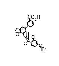 CC(C)Oc1ccc(C(=O)NCc2cc(-c3cccc(C(=O)O)c3)cc3c2OCC3)c(Cl)c1